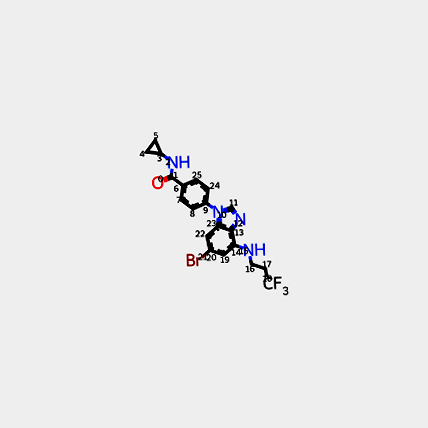 O=C(NC1CC1)c1ccc(-n2cnc3c(NCCC(F)(F)F)cc(Br)cc32)cc1